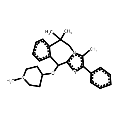 Cc1c(-c2ccccc2)nc2n1CC(C)(C)c1ccccc1C2OC1CCN(C)CC1